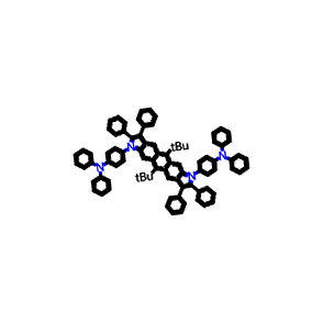 CC(C)(C)c1c2cc3c(-c4ccccc4)c(-c4ccccc4)n(-c4ccc(N(c5ccccc5)c5ccccc5)cc4)c3cc2c(C(C)(C)C)c2cc3c(-c4ccccc4)c(-c4ccccc4)n(-c4ccc(N(c5ccccc5)c5ccccc5)cc4)c3cc12